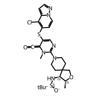 C[C@@H]1OCC2(CCN(C3=NC=C(Sc4ccn5nccc5c4Cl)C(=C=O)N3C)CC2)[C@@H]1N[S@+]([O-])C(C)(C)C